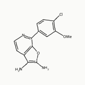 COc1cc(-c2nccc3c(N)c(N)oc23)ccc1Cl